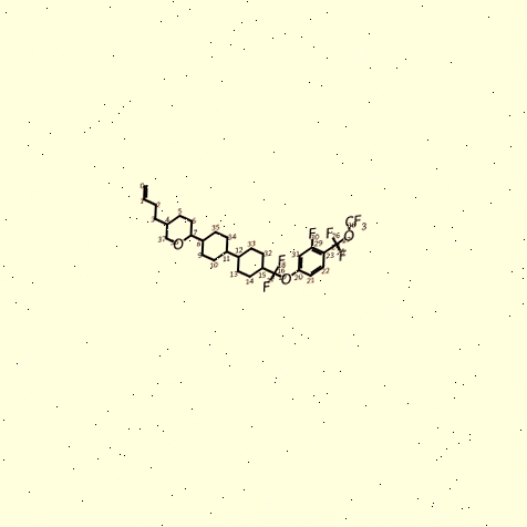 C=CCCC1CCC(C2CCC(C3CCC(C(F)(F)Oc4ccc(C(F)(F)OC(F)(F)F)c(F)c4)CC3)CC2)OC1